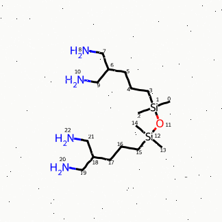 C[Si](C)(CCCC(CN)CN)O[Si](C)(C)CCCC(CN)CN